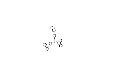 c1cnc2ccc(-c3ccc(-c4nc(-c5ccc(-n6c7ccccc7c7ccccc76)cc5)cc(-c5cc6ccccc6c6ccccc56)n4)cc3)cc2c1